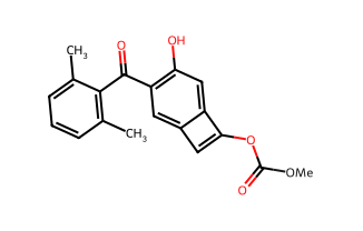 COC(=O)OC1=Cc2cc(C(=O)c3c(C)cccc3C)c(O)cc21